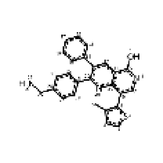 Cc1ccsc1-c1cnc(O)c2cc(-c3ccccc3)c(-c3ccc(CN)cc3)nc12